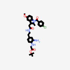 COc1ccc2c(c1)c(CC(=O)NCCc1ccc(NCC(=O)OC(C)(C)C)c(N)c1)c(C)n2C(=O)c1ccc(Cl)cc1